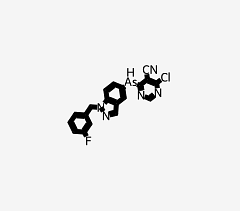 N#Cc1c(Cl)ncnc1[AsH]c1ccc2c(cnn2Cc2cccc(F)c2)c1